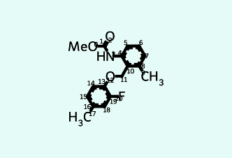 COC(=O)Nc1cccc(C)c1COc1ccc(C)cc1F